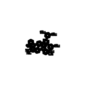 C=C/C=C\C(C#N)=C/c1ccc(-n2c3ccccc3c3cc(C#N)ccc32)c(-c2cc(-c3nc(-c4cc(C(C)(C)C)cc(C(C)(C)C)c4)nc(-c4cc(C(C)(C)C)cc(C(C)(C)C)c4)n3)ccc2-n2c3ccccc3c3cc(C#N)ccc32)c1